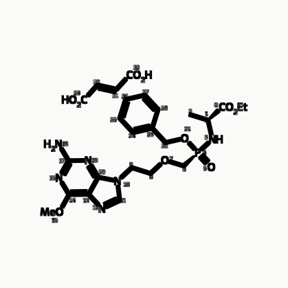 CCOC(=O)[C@H](C)N[P@@](=O)(COCCn1cnc2c(OC)nc(N)nc21)OCc1ccccc1.O=C(O)/C=C/C(=O)O